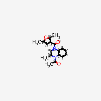 CC(=O)N1c2ccccc2N(C(=O)c2cc(C)oc2C)C[C@@H]1C